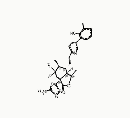 Cc1cccc(-c2ccc(C=C[C@@H]3[C@@H]4[C@@H](C)OC(=O)[C@]4(c4nnc(N)o4)CC(F)(F)[C@H]3C)nc2)c1C#N